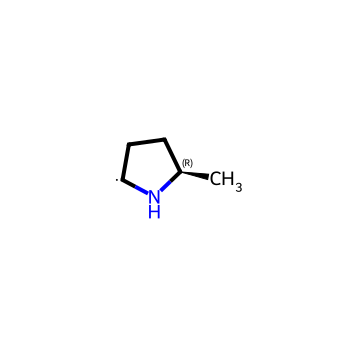 C[C@@H]1CC[CH]N1